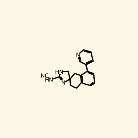 N#CNC1=NC2(CCc3cccc(-c4cccnc4)c3C2)CN1